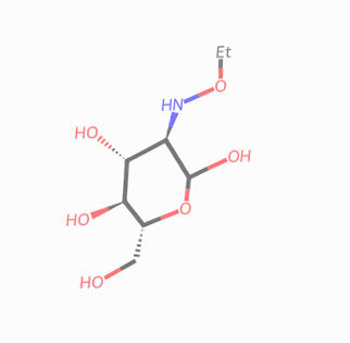 CCON[C@H]1C(O)O[C@H](CO)[C@@H](O)[C@@H]1O